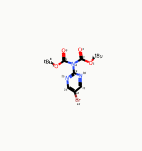 CC(C)(C)OC(=O)N(C(=O)OC(C)(C)C)c1ncc(Br)cn1